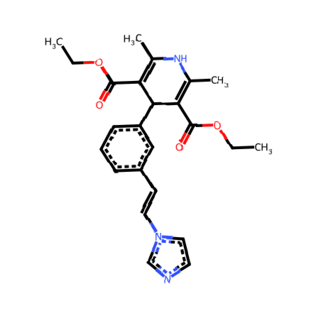 CCOC(=O)C1=C(C)NC(C)=C(C(=O)OCC)C1c1cccc(C=Cn2ccnc2)c1